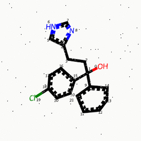 OC(CCc1c[nH]cn1)(c1ccccc1)c1ccc(Cl)cc1